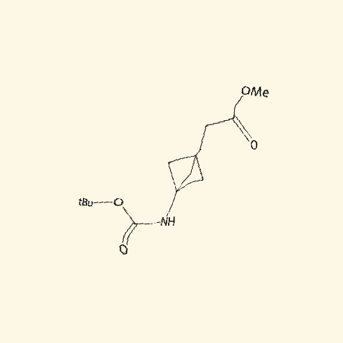 COC(=O)CC12CC(NC(=O)OC(C)(C)C)(C1)C2